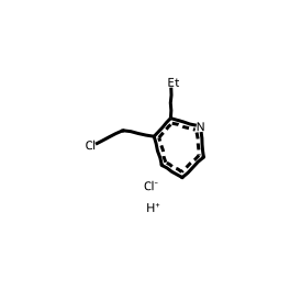 CCc1ncccc1CCl.[Cl-].[H+]